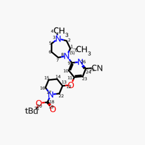 C[C@H]1CN(C)CCCN1c1cc(OC2CCCN(C(=O)OC(C)(C)C)C2)cc(C#N)n1